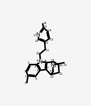 Cc1ccc2c(c1)c1c(n2CCc2ccc(C)nc2)C2CCC1CN2C